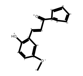 COc1ccc(O)c(C=CC(=O)c2ccccc2)c1